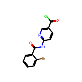 O=C(Cl)c1ccc(NC(=O)c2ccccc2Br)nc1